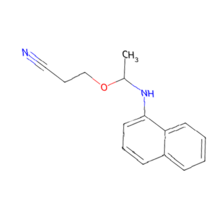 CC(Nc1cccc2ccccc12)OCCC#N